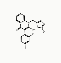 O=c1c(-c2ccc(F)cc2F)c(O)n(Cc2cnc(Cl)s2)c2cccc[n+]12